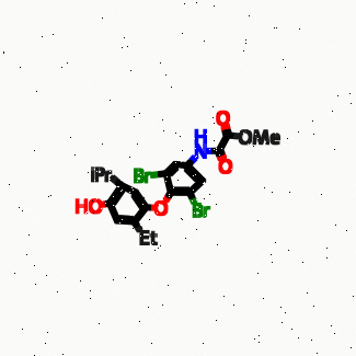 CCc1cc(O)c(C(C)C)cc1Oc1c(Br)cc(NC(=O)C(=O)OC)cc1Br